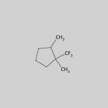 CC1CCCC1(C)C(F)(F)F